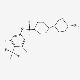 CC1CCC(C2CCC(C(F)(F)Oc3cc(F)c(C(F)(F)F)c(F)c3)CC2)CC1